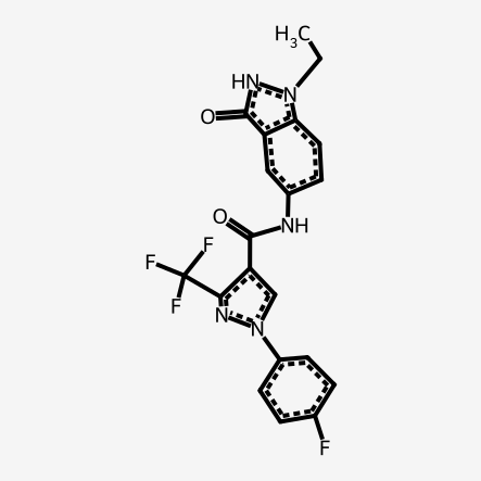 CCn1[nH]c(=O)c2cc(NC(=O)c3cn(-c4ccc(F)cc4)nc3C(F)(F)F)ccc21